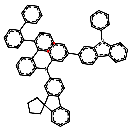 c1ccc(-c2ccccc2-c2ccccc2-c2ccccc2N(c2cccc(-c3ccc4c5ccccc5n(-c5ccccc5)c4c3)c2)c2ccc3c(c2)C2(CCCC2)c2ccccc2-3)cc1